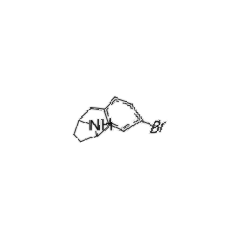 Brc1ccc2c(c1)C1CCC(C2)N1